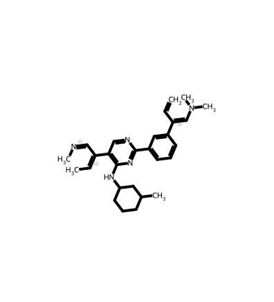 C=C/C(=C\N(C)C)c1cccc(-c2ncc(C(/C=N\C)=C/C)c(NC3CCCC(C)C3)n2)c1